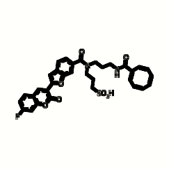 O=C(NCCCN(CCCS(=O)(=O)O)C(=O)c1ccc2cc(-c3cc4ccc(F)cc4oc3=O)oc2c1)C1=CC=CC=CC=C1